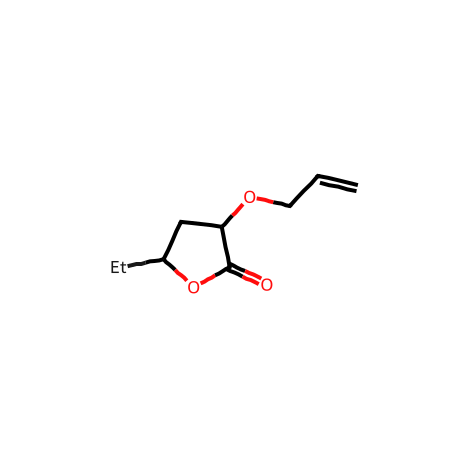 C=CCOC1CC(CC)OC1=O